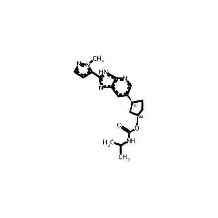 CC(C)NC(=O)O[C@@H]1CC[C@H](c2cnc3[nH]c(-c4ccnn4C)nc3c2)C1